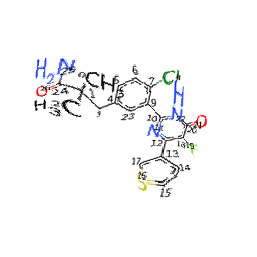 CC(C)(Cc1ccc(Cl)c(-c2nc(-c3ccsc3)c(F)c(=O)[nH]2)c1)C(N)=O